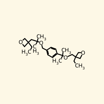 CCC1(COC(C)(C)c2ccc(COC(C)(C)CC3(CC)COC3)cc2)COC1